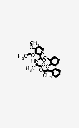 CCOc1c(OC)ccnc1C(=O)N[C@@H](C)C(=O)O[C@@H](C)[C@H](Oc1ccccc1Cl)c1ccccc1